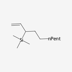 C=CC(CCCCCCC)[Si](C)(C)C